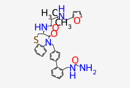 CC(C)(CC(=O)N[C@@H]1CSc2ccccc2N(Cc2ccc(-c3ccccc3CNC(N)=O)cc2)C1=O)NCc1ccco1